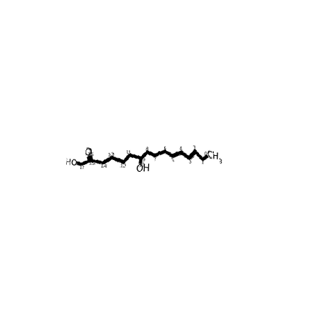 CCCCCCCCCC(O)CCCCC(=O)CO